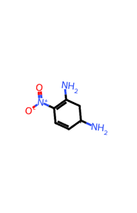 N[C]1C=CC([N+](=O)[O-])=C(N)C1